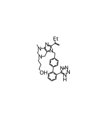 C=C(CC)c1nc2c(n1Cc1ccc(-c3ccccc3-c3nnn[nH]3)cc1)CN(CCCO)CN2C